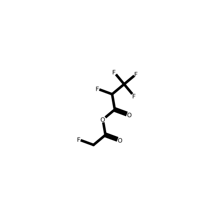 O=C(CF)OC(=O)C(F)C(F)(F)F